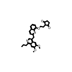 CCCc1ncc(Cc2ccc3cccc(OCCC4C(=O)CCC4=O)c3n2)c2cc(OC)c(OC)cc12